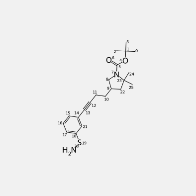 CC(C)(C)OC(=O)N1CC(CCC#Cc2cccc(SN)c2)CC1(C)C